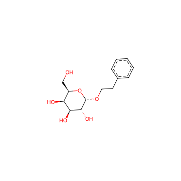 OC[C@H]1O[C@H](OCCc2ccccc2)[C@H](O)[C@@H](O)[C@H]1O